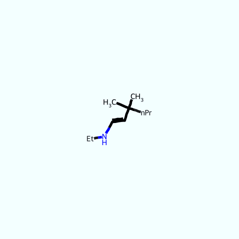 CCCC(C)(C)/C=C/NCC